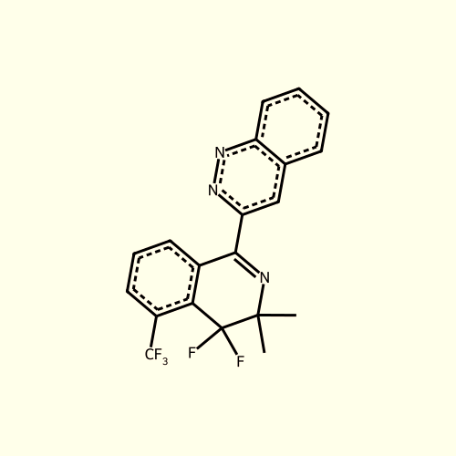 CC1(C)N=C(c2cc3ccccc3nn2)c2cccc(C(F)(F)F)c2C1(F)F